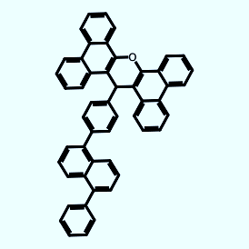 c1ccc(-c2cccc3c(-c4ccc(C5c6c(c7ccccc7c7ccccc67)Oc6c5c5ccccc5c5ccccc65)cc4)cccc23)cc1